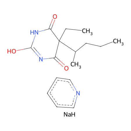 CCCC(C)C1(CC)C(=O)N=C(O)NC1=O.[NaH].c1ccncc1